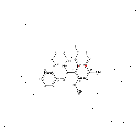 CC1=CC=CNC1[C@H]1CCC[C@@H](c2ncccc2C)N1Cc1ccc(C#N)cc1CO